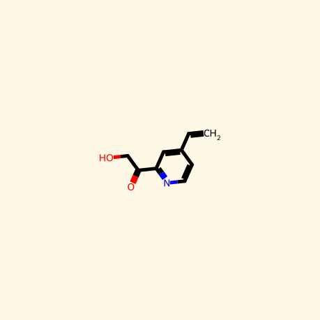 C=Cc1ccnc(C(=O)CO)c1